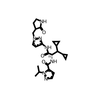 CC(C)n1nccc1C(=O)N[C@H](C(=O)Nc1ccn(CC2CCNC2=O)n1)C(C1CC1)C1CC1